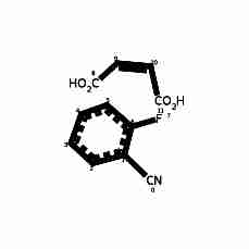 N#Cc1ccccc1F.O=C(O)/C=C\C(=O)O